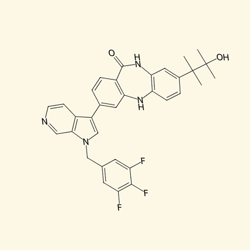 CC(C)(O)C(C)(C)c1ccc2c(c1)NC(=O)c1ccc(-c3cn(Cc4cc(F)c(F)c(F)c4)c4cnccc34)cc1N2